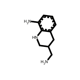 NCC1CNc2c(N)cccc2C1